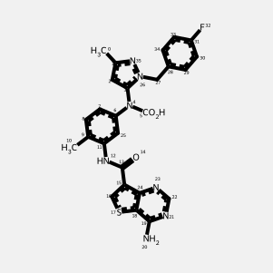 Cc1cc(N(C(=O)O)c2ccc(C)c(NC(=O)c3csc4c(N)ncnc34)c2)n(Cc2ccc(F)cc2)n1